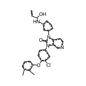 C=CC(O)Nc1cccc(-n2c(=O)n(-c3ccc(Oc4cccc(C)c4C)c(Cl)c3)c3cnccc32)c1